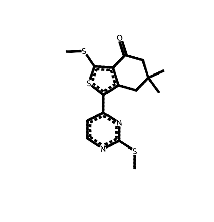 CSc1nccc(-c2sc(SC)c3c2CC(C)(C)CC3=O)n1